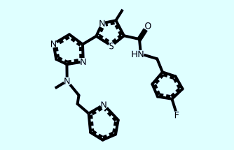 Cc1nc(-c2cncc(N(C)CCc3ccccn3)n2)sc1C(=O)NCc1ccc(F)cc1